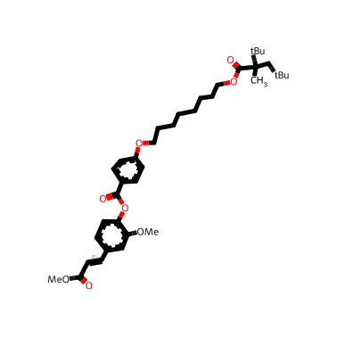 COC(=O)/C=C/c1ccc(OC(=O)c2ccc(OCCCCCCCCOC(=O)C(C)(CC(C)(C)C)C(C)(C)C)cc2)c(OC)c1